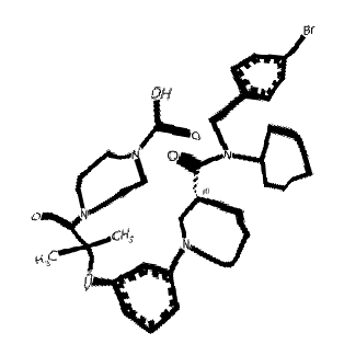 CC(C)(Oc1cccc(N2CCC[C@@H](C(=O)N(Cc3ccc(Br)cc3)C3CCCCC3)C2)c1)C(=O)N1CCN(C(=O)O)CC1